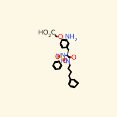 Nc1cc(C[C@H](NS(=O)(=O)c2ccccc2)C(=O)NCCCCc2ccccc2)ccc1OCC(=O)O